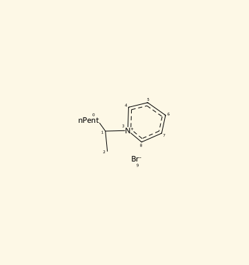 CCCCCC(C)[n+]1ccccc1.[Br-]